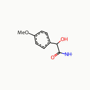 COc1ccc(C(O)C([NH])=O)cc1